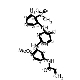 C=CC(=O)Nc1ccc(OC)c(Nc2ncc(Cl)c(Nc3cnccc3P(C)(C)=O)n2)c1